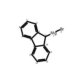 [Br][Mg][CH]1c2ccccc2-c2ccccc21